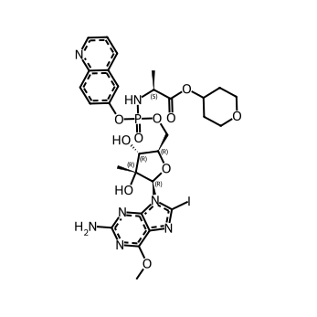 COc1nc(N)nc2c1nc(I)n2[C@@H]1O[C@H](COP(=O)(N[C@@H](C)C(=O)OC2CCOCC2)Oc2ccc3ncccc3c2)[C@@H](O)[C@@]1(C)O